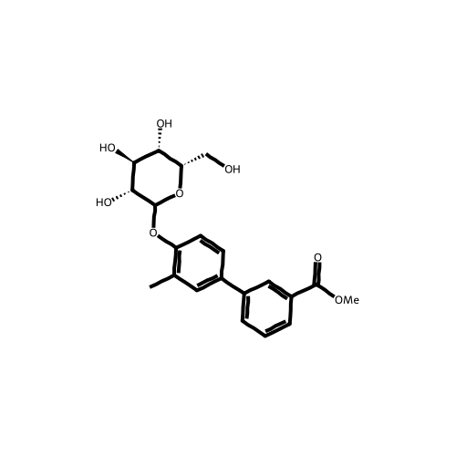 COC(=O)c1cccc(-c2ccc(OC3O[C@@H](CO)[C@@H](O)[C@H](O)[C@H]3O)c(C)c2)c1